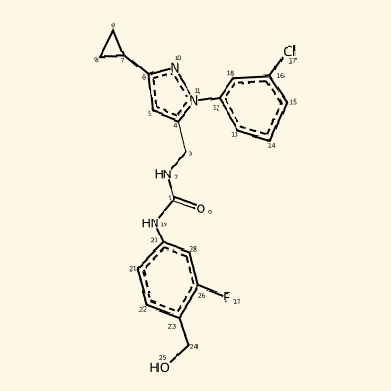 O=C(NCc1cc(C2CC2)nn1-c1cccc(Cl)c1)Nc1ccc(CO)c(F)c1